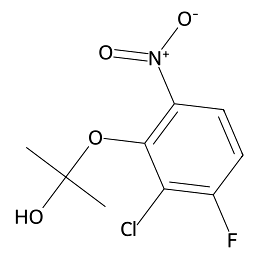 CC(C)(O)Oc1c([N+](=O)[O-])ccc(F)c1Cl